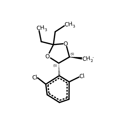 [CH2][C@@H]1OC(CC)(CC)O[C@H]1c1c(Cl)cccc1Cl